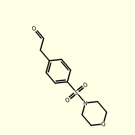 O=CCc1ccc(S(=O)(=O)N2CCOCC2)cc1